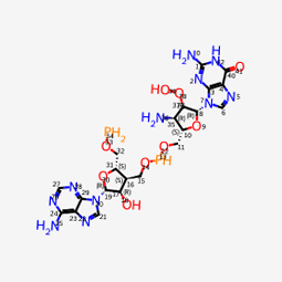 Nc1nc2c(ncn2[C@@H]2O[C@H](COPOC[C@H]3[C@@H](O)[C@H](n4cnc5c(N)ncnc54)O[C@@H]3COP)[C@@H](N)[C@H]2OO)c(=O)[nH]1